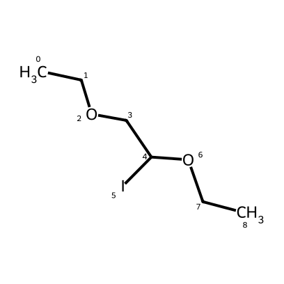 CCOCC(I)OCC